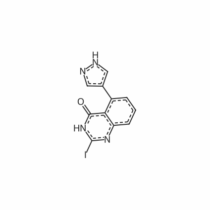 O=c1[nH]c(I)nc2cccc(-c3cn[nH]c3)c12